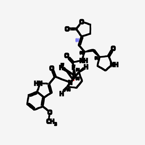 COc1cccc2[nH]c(C(=O)N3[C@H]4CC[C@@H]([C@H]3C(=O)N[C@@H](/C=C3\CCOC3=O)C[C@@H]3CCNC3=O)C(F)(F)C4)cc12